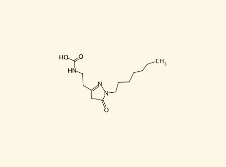 CCCCCCCN1N=C(CCNC(=O)O)CC1=O